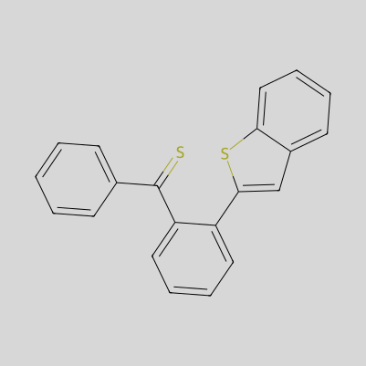 S=C(c1ccccc1)c1ccccc1-c1cc2ccccc2s1